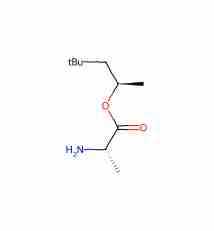 C[C@H](CC(C)(C)C)OC(=O)[C@H](C)N